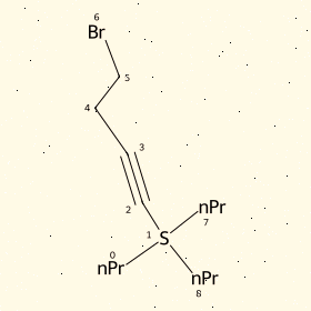 CCCS(C#CCCBr)(CCC)CCC